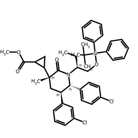 CC[C@@H](CO[Si](c1ccccc1)(c1ccccc1)C(C)(C)C)N1C(=O)[C@@](C)(C2CC2C(=O)OC)C[C@H](c2cccc(Cl)c2)[C@H]1c1ccc(Cl)cc1